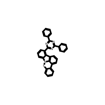 c1ccc(-c2nc(-c3ccccc3)nc(-c3cccc4c3c3cccc5c3n4Sc3ccccc3-5)n2)cc1